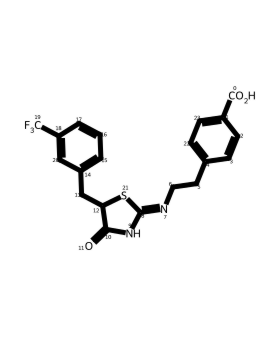 O=C(O)c1ccc(CCN=C2NC(=O)C(Cc3cccc(C(F)(F)F)c3)S2)cc1